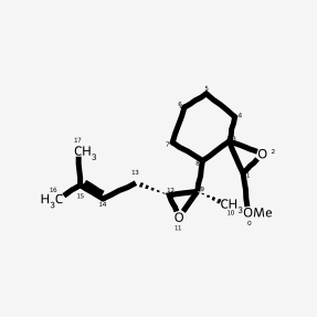 COC1OC12CC[CH]CC2[C@@]1(C)O[C@@H]1CC=C(C)C